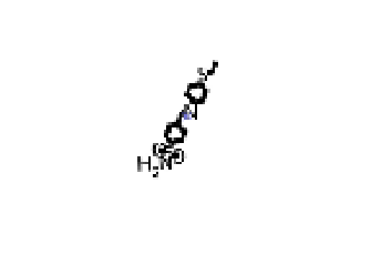 CCSc1ccc(/N=C/c2ccc(S(N)(=O)=O)cc2)cc1